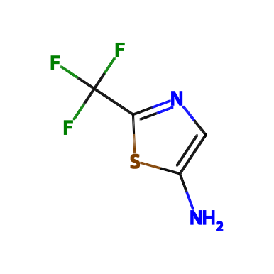 Nc1cnc(C(F)(F)F)s1